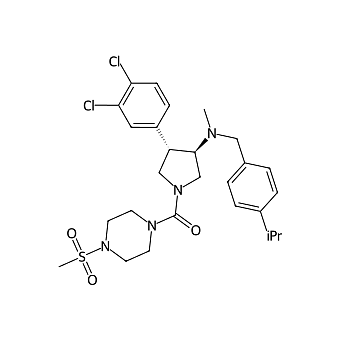 CC(C)c1ccc(CN(C)[C@H]2CN(C(=O)N3CCN(S(C)(=O)=O)CC3)C[C@@H]2c2ccc(Cl)c(Cl)c2)cc1